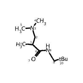 CC(CN(C)C)C(=O)NCC(C)(C)C